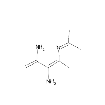 C=C(N)/C(N)=C(/C)N=C(C)C